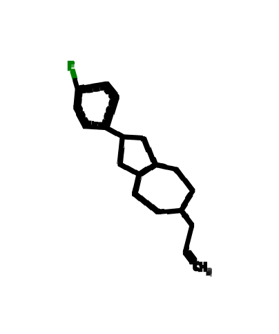 C=CCC1CCC2CC(c3ccc(F)cc3)CC2CC1